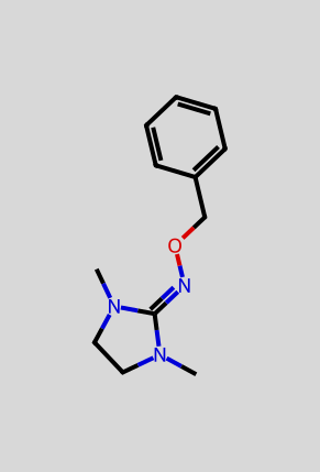 CN1CCN(C)C1=NOCc1ccccc1